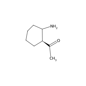 CC(=O)[C@H]1CCCCC1N